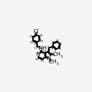 Cc1c(Cc2ccccc2)c2c(NCc3ccc(Cl)cc3)nccc2n1C